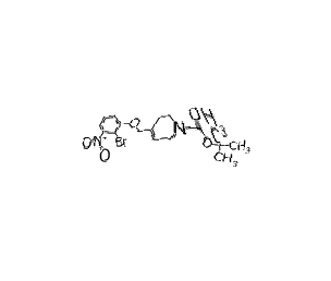 CC(C)(C)OC(=O)N1CC=C(COc2cccc([N+](=O)[O-])c2Br)CC1